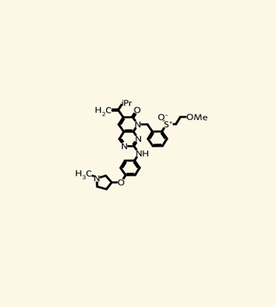 C=C(c1cc2cnc(Nc3ccc(OC4CCN(C)C4)cc3)nc2n(Cc2ccccc2[S+]([O-])CCOC)c1=O)C(C)C